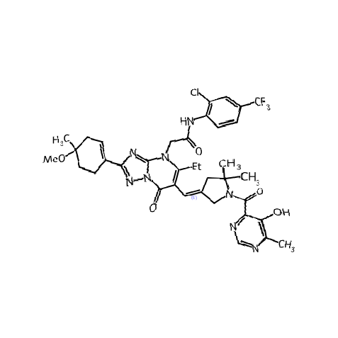 CCc1c(/C=C2/CN(C(=O)c3ncnc(C)c3O)C(C)(C)C2)c(=O)n2nc(C3=CCC(C)(OC)CC3)nc2n1CC(=O)Nc1ccc(C(F)(F)F)cc1Cl